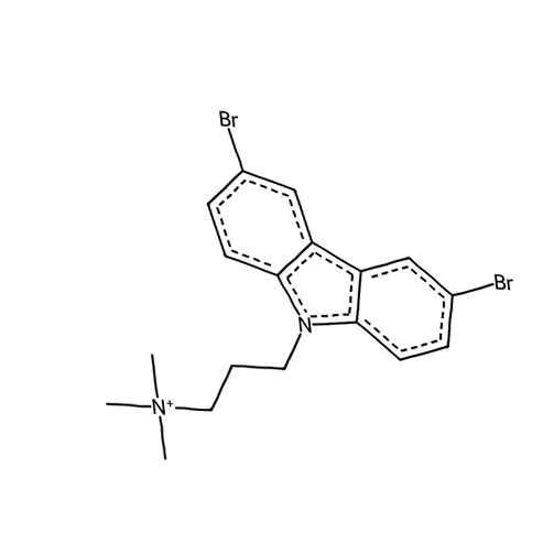 C[N+](C)(C)CCCn1c2ccc(Br)cc2c2cc(Br)ccc21